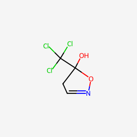 OC1(C(Cl)(Cl)Cl)CC=NO1